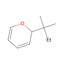 CCC(C)(C)C1C=CC=CO1